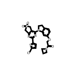 O=C(COc1ccc2c(c1)N(c1nc(-c3ccc(Cl)s3)nc3c1CS(=O)(=O)C3)CC2)N1CCC1